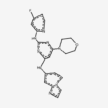 Fc1ccnc(Nc2nc(Nc3ccn4ccnc4c3)cc(N3CCOCC3)n2)c1